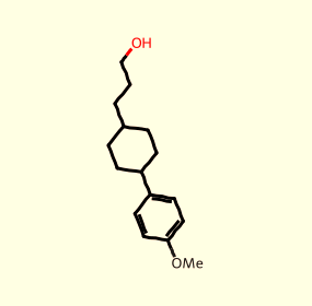 COc1ccc(C2CCC(CCCO)CC2)cc1